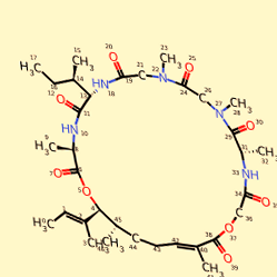 C/C=C(\C)[C@H]1OC(=O)[C@@H](C)NC(=O)[C@H]([C@H](C)CC)NC(=O)CN(C)C(=O)CN(C)C(=O)[C@H](C)NC(=O)COC(=O)/C(C)=C/CC[C@@H]1C